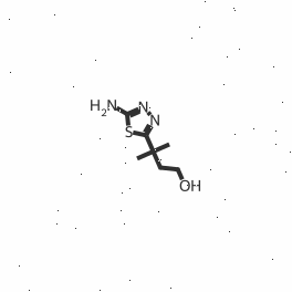 CC(C)(CCO)c1nnc(N)s1